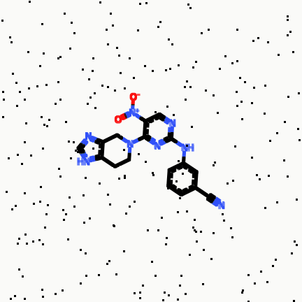 N#Cc1cccc(Nc2ncc([N+](=O)[O-])c(N3CCc4[nH]cnc4C3)n2)c1